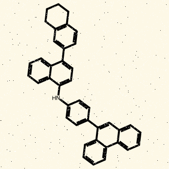 c1ccc2c(c1)cc(-c1ccc(Nc3ccc(-c4ccc5c(c4)CCCC5)c4ccccc34)cc1)c1ccccc12